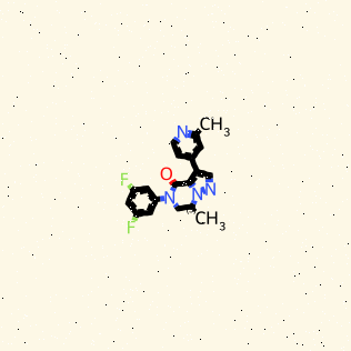 Cc1cc(-c2cnn3c2C(=O)N(c2cc(F)cc(F)c2)C[C@@H]3C)ccn1